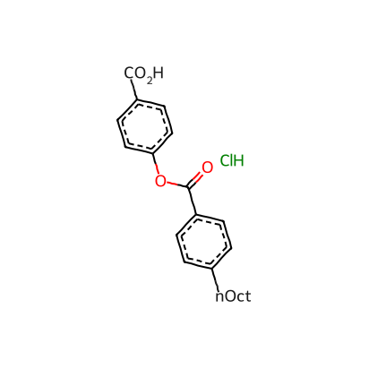 CCCCCCCCc1ccc(C(=O)Oc2ccc(C(=O)O)cc2)cc1.Cl